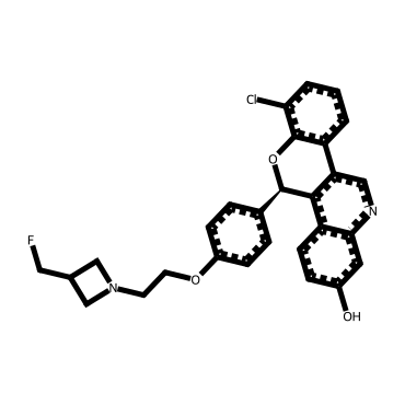 Oc1ccc2c3c(cnc2c1)-c1cccc(Cl)c1O[C@@H]3c1ccc(OCCN2CC(CF)C2)cc1